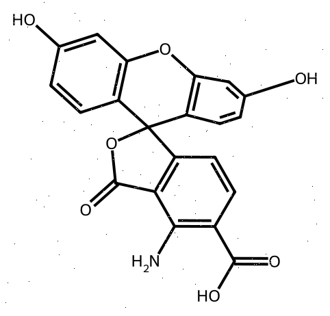 Nc1c(C(=O)O)ccc2c1C(=O)OC21c2ccc(O)cc2Oc2cc(O)ccc21